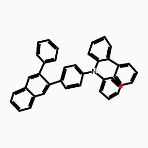 c1ccc(-c2cc3ccccc3cc2-c2ccc(N(c3ccccc3)c3ccccc3-c3ccccc3)cc2)cc1